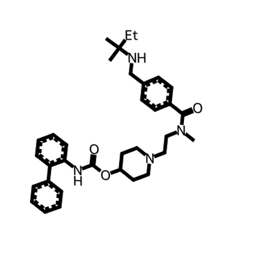 CCC(C)(C)NCc1ccc(C(=O)N(C)CCN2CCC(OC(=O)Nc3ccccc3-c3ccccc3)CC2)cc1